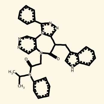 CC(C)N(C(=O)CN1C(=O)C(Cc2c[nH]c3ccccc23)c2nnc(-c3ccccc3)n2-c2cnncc21)c1ccccc1